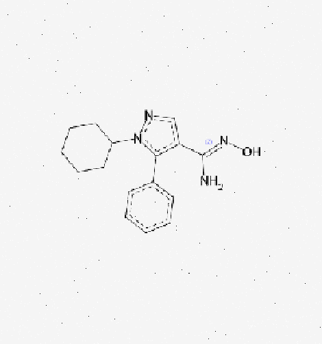 N/C(=N\O)c1cnn(C2CCCCC2)c1-c1ccccc1